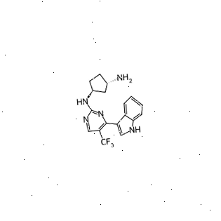 N[C@H]1CC[C@H](Nc2ncc(C(F)(F)F)c(-c3c[nH]c4ccccc34)n2)C1